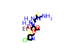 CCOC1C(Sc2cc(Cl)cnc2C)OC2COC2C1N(N)/C=C(\N)c1csc(N)n1